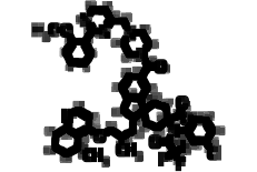 COc1ccccc1-c1nccc(CN2CCN(C(=O)c3ccc4c(c3)C3(CCC(C(=O)O)(N(C(=O)C(F)(F)F)c5cccc(Cl)c5)CC3)C(C[C@@H](C)COc3ccnc5c3[C@H](C)CCC5)C4)CC2)n1